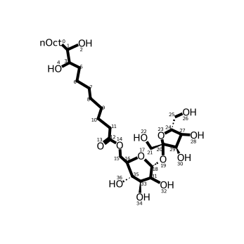 CCCCCCCCC(O)C(O)CCCCCCCC(=O)OCC1O[C@H](O[C@]2(CO)O[C@H](CO)C(O)[C@H]2O)C(O)[C@@H](O)[C@@H]1O